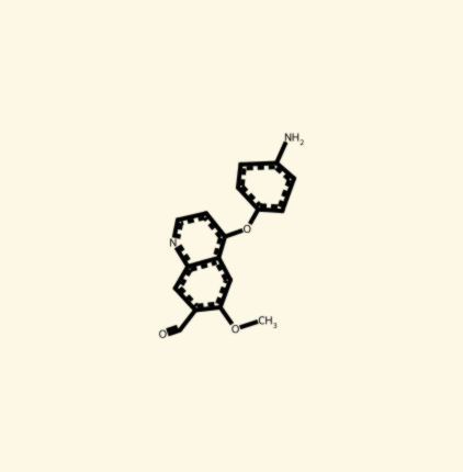 COc1cc2c(Oc3ccc(N)cc3)ccnc2cc1C=O